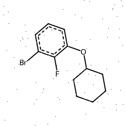 Fc1c(Br)cccc1OC1CCCCC1